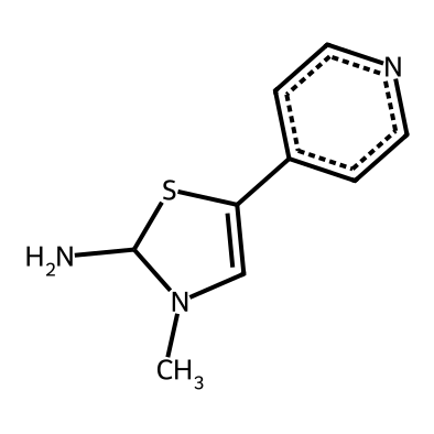 CN1C=C(c2ccncc2)SC1N